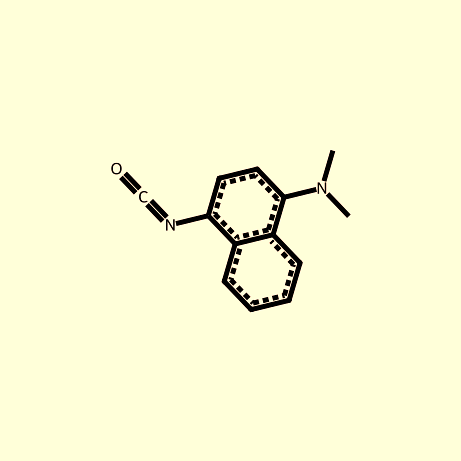 CN(C)c1ccc(N=C=O)c2ccccc12